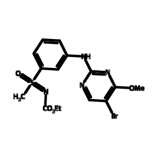 CCOC(=O)N=S(C)(=O)c1cccc(Nc2ncc(Br)c(OC)n2)c1